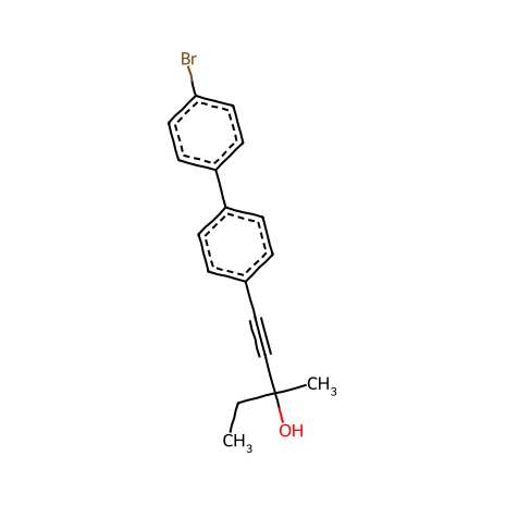 CCC(C)(O)C#Cc1ccc(-c2ccc(Br)cc2)cc1